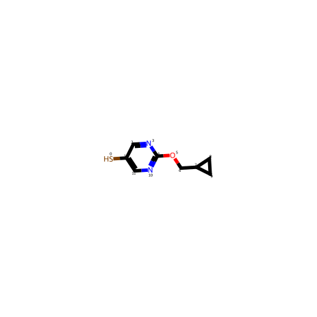 Sc1cnc(OCC2CC2)nc1